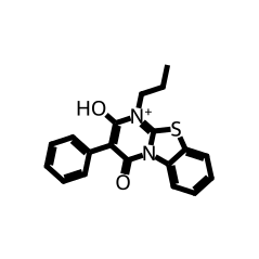 CCC[n+]1c(O)c(-c2ccccc2)c(=O)n2c3ccccc3sc21